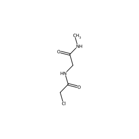 CNC(=O)CNC(=O)CCl